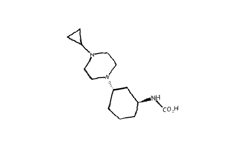 O=C(O)N[C@H]1CCC[C@H](N2CCN(C3CC3)CC2)C1